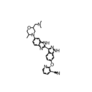 CC1COC(CN(C)C)CN1c1ccc2nc(-c3n[nH]c4cc(Oc5ncccc5C#N)ccc34)[nH]c2c1